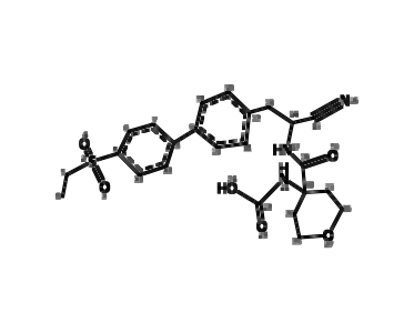 CCS(=O)(=O)c1ccc(-c2ccc(CC(C#N)NC(=O)C3(NC(=O)O)CCOCC3)cc2)cc1